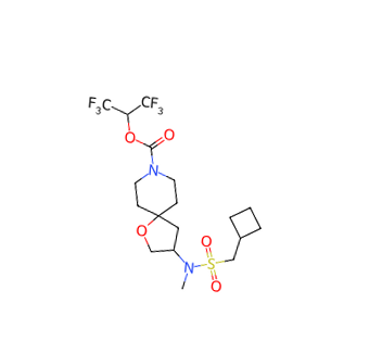 CN(C1COC2(CCN(C(=O)OC(C(F)(F)F)C(F)(F)F)CC2)C1)S(=O)(=O)CC1CCC1